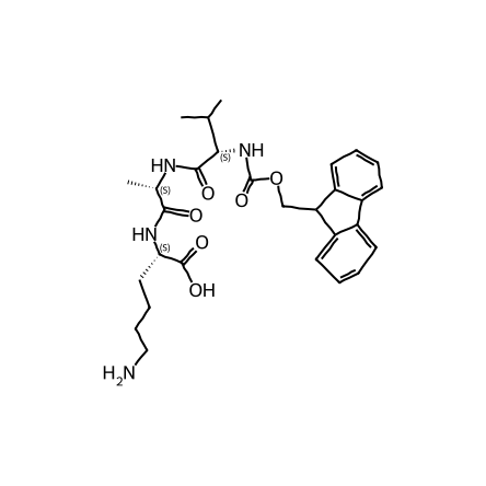 CC(C)[C@H](NC(=O)OCC1c2ccccc2-c2ccccc21)C(=O)N[C@@H](C)C(=O)N[C@@H](CCCCN)C(=O)O